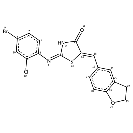 O=C1N/C(=N\c2ccc(Br)cc2Cl)S/C1=C\c1ccc2c(c1)CCO2